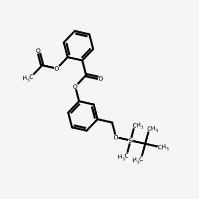 CC(=O)Oc1ccccc1C(=O)Oc1cccc(CO[Si](C)(C)C(C)(C)C)c1